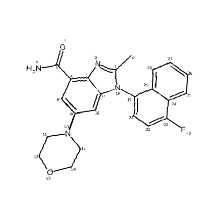 Cc1nc2c(C(N)=O)cc(N3CCOCC3)cc2n1-c1ccc(F)c2ccccc12